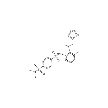 Cc1cccc(NS(=O)(=O)c2ccc(S(=O)(=O)N(C)C)cc2)c1N(C)Cc1cscn1